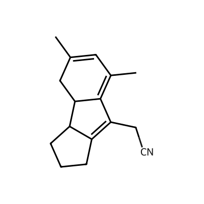 CC1=CC(C)=C2C(CC#N)=C3CCCC3C2C1